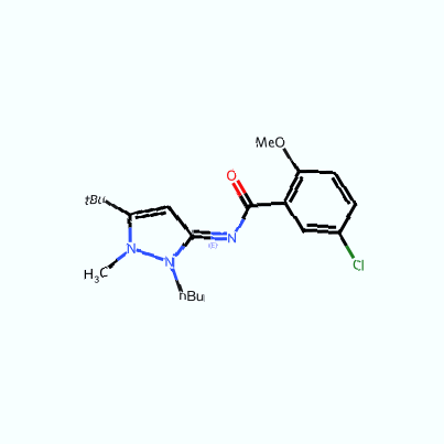 CCCCn1/c(=N/C(=O)c2cc(Cl)ccc2OC)cc(C(C)(C)C)n1C